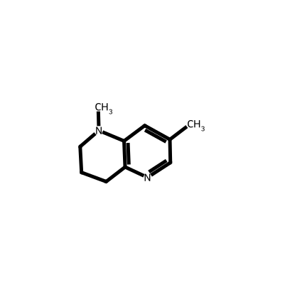 Cc1cnc2c(c1)N(C)CCC2